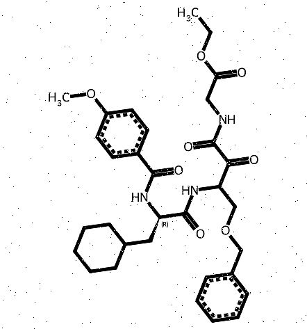 CCOC(=O)CNC(=O)C(=O)C(COCc1ccccc1)NC(=O)[C@@H](CC1CCCCC1)NC(=O)c1ccc(OC)cc1